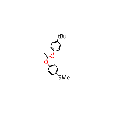 CSc1ccc(OC(C)Oc2ccc(C(C)(C)C)cc2)cc1